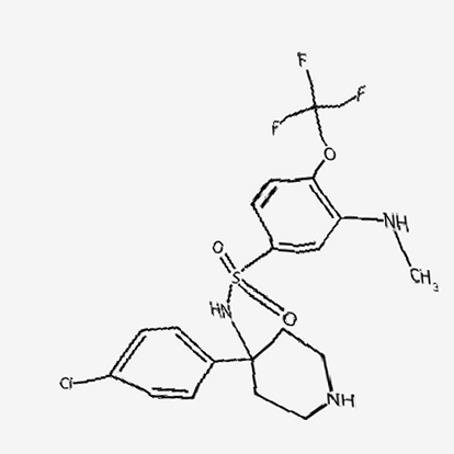 CNc1cc(S(=O)(=O)NC2(c3ccc(Cl)cc3)CCNCC2)ccc1OC(F)(F)F